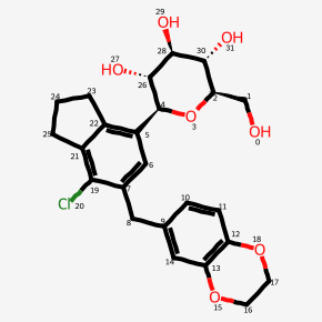 OC[C@H]1O[C@@H](c2cc(Cc3ccc4c(c3)OCCO4)c(Cl)c3c2CCC3)[C@H](O)[C@@H](O)[C@@H]1O